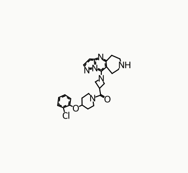 O=C(C1CN(c2c3c(nc4ccnn24)CCNCC3)C1)N1CCC(Oc2ccccc2Cl)CC1